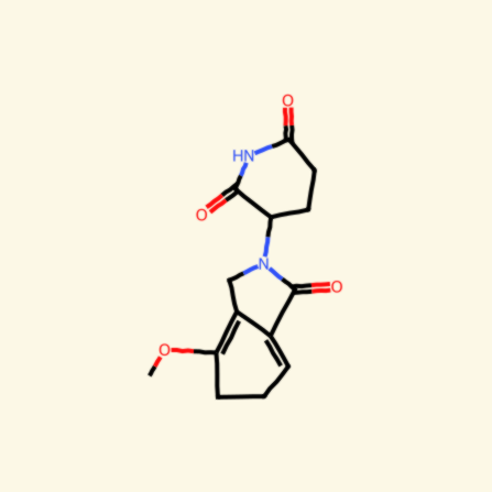 COC1=C2CN(C3CCC(=O)NC3=O)C(=O)C2=CCC1